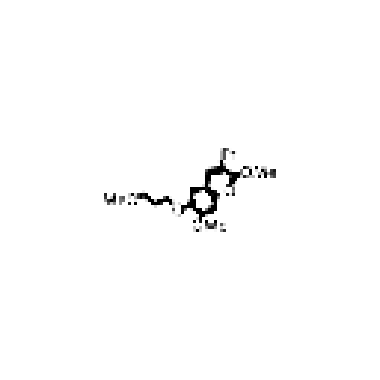 COCCCOc1cc(C=C(C(=O)OC)C(C)C)ccc1OC